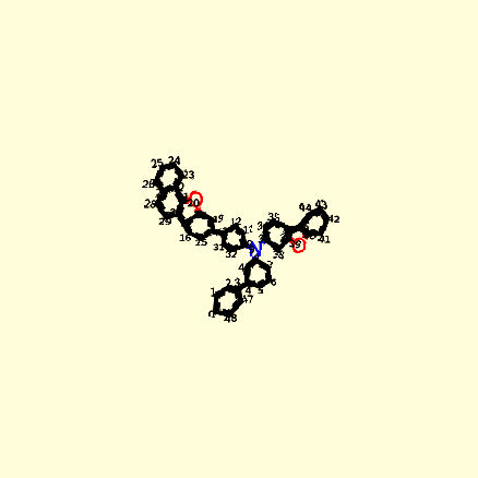 c1ccc(-c2cccc(N(c3ccc(-c4ccc5c(c4)oc4c6ccccc6ccc54)cc3)c3ccc4c(c3)oc3ccccc34)c2)cc1